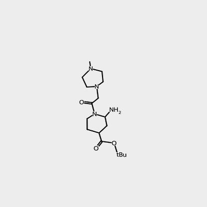 CN1CCN(CC(=O)N2CCC(C(=O)OC(C)(C)C)CC2N)CC1